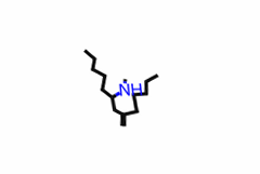 C=C(CCCCC)CC(CCCCC)NC